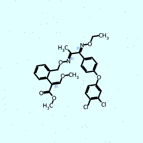 CCO/N=C(/C(C)=N/OCc1ccccc1/C(=C\OC)C(=O)OC)c1ccc(Oc2ccc(Cl)c(Cl)c2)cc1